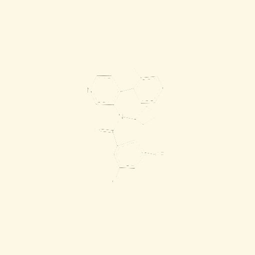 Cc1ccccc1-c1ccncc1N(C(=O)c1cc(C(F)(F)F)cc(C(F)(F)F)c1)C1COC1